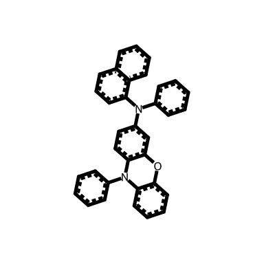 c1ccc(N2c3ccccc3Oc3cc(N(c4ccccc4)c4cccc5ccccc45)ccc32)cc1